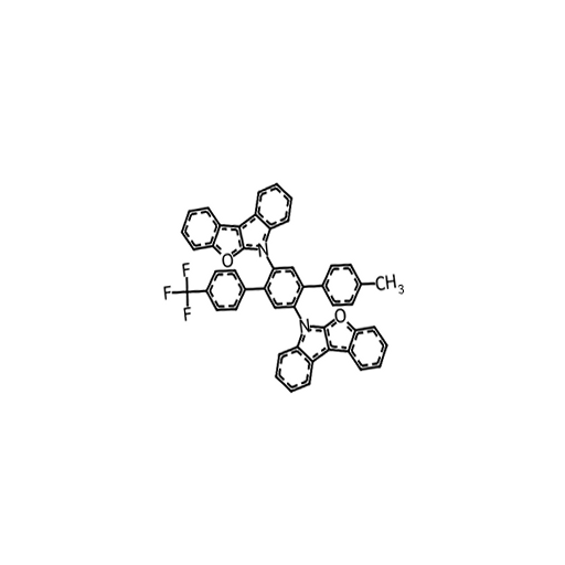 Cc1ccc(-c2cc(-n3c4ccccc4c4c5ccccc5oc43)c(-c3ccc(C(F)(F)F)cc3)cc2-n2c3ccccc3c3c4ccccc4oc32)cc1